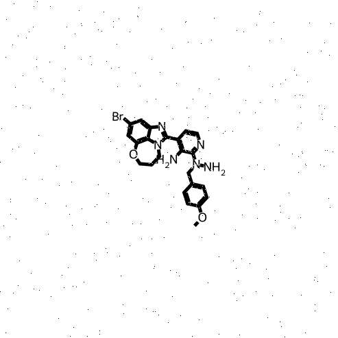 COc1ccc(CN(N)c2nccc(-c3nc4cc(Br)cc5c4n3CCCO5)c2N)cc1